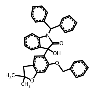 CC1(C)Cc2cc(C3(O)C(=O)N(C(c4ccccc4)c4ccccc4)c4ccccc43)c(OCc3ccccc3)cc2O1